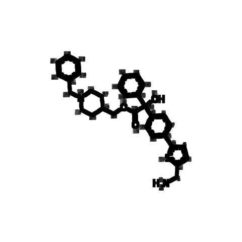 NCc1ccc(-c2ccc([C@](O)(C(=O)OCC3CCN(Cc4ccccc4)CC3)c3ccccc3)cc2)s1